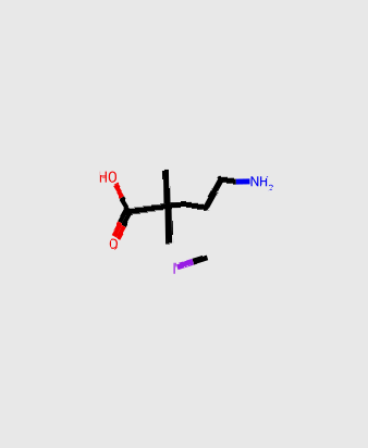 CC(C)(CCN)C(=O)O.CI